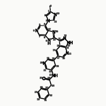 Cc1cn(-c2cncc3[nH]c(-c4n[nH]c5ncc(-c6cncc(NC(=O)Cc7ccccc7)c6)cc45)nc23)cn1